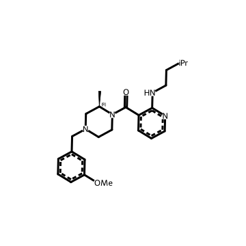 COc1cccc(CN2CCN(C(=O)c3cccnc3NCCC(C)C)[C@H](C)C2)c1